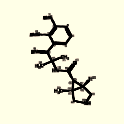 CNc1c(SC)cccc1C(=N)C(C)(C)NC(=O)[C@H]1[C@@H]2CNC[C@@]21C